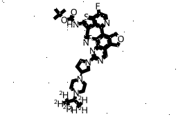 [2H]C([2H])([2H])C(N1CCN([C@H]2CCN(c3ncc4c5c(c(-c6ncc(F)c7sc(NC(=O)OC(C)(C)C)c(C#N)c67)c(F)c4n3)COC5)C2)CC1)C([2H])([2H])[2H]